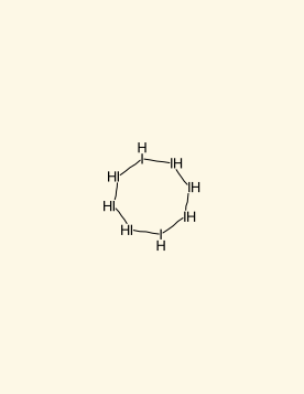 [IH]1[IH][IH][IH][IH][IH][IH][IH]1